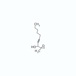 CCCCCC#CC(O)C1(C)CO1